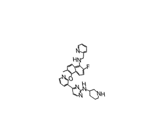 Cc1ccc2c(NCc3ccccn3)c(F)ccc2c1Oc1ncccc1-c1ccnc(NC2CCCNC2)n1